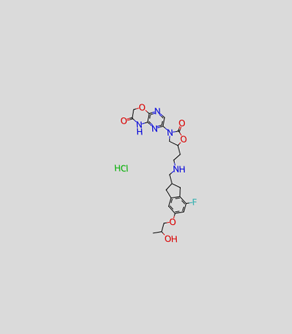 CC(O)COc1cc(F)c2c(c1)CC(CNCCC1CN(c3cnc4c(n3)NC(=O)CO4)C(=O)O1)C2.Cl